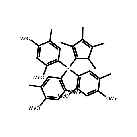 COc1cc(OC)c([Si](C2=C(C)C(C)=C(C)C2C)(c2cc(C)c(OC)cc2OC)c2cc(C)c(OC)cc2OC)cc1C